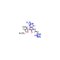 CC(=O)OC[C@H]1O[C@@H](n2c(=O)n(C/C=C/c3nnn[nH]3)c3cnc(N)nc32)[C@H](OC(C)=O)[C@@H]1F